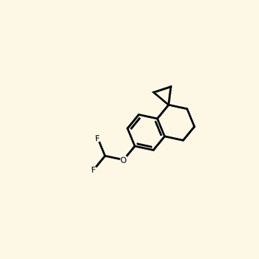 FC(F)Oc1ccc2c(c1)CCCC21CC1